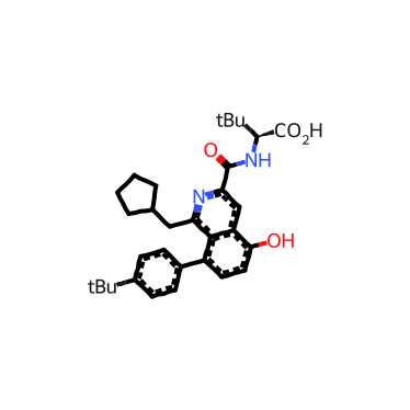 CC(C)(C)c1ccc(-c2ccc(O)c3cc(C(=O)N[C@H](C(=O)O)C(C)(C)C)nc(CC4CCCC4)c23)cc1